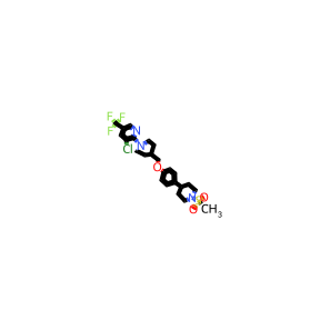 CS(=O)(=O)N1CCC(c2ccc(OCC3CCN(c4ncc(C(F)(F)F)cc4Cl)CC3)cc2)CC1